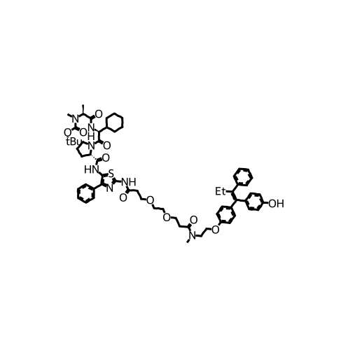 CCC(=C(c1ccc(O)cc1)c1ccc(OCCN(C)C(=O)CCOCCOCCC(=O)Nc2nc(-c3ccccc3)c(NC(=O)[C@@H]3CCCN3C(=O)[C@@H](NC(=O)[C@H](C)N(C)C(=O)OC(C)(C)C)C3CCCCC3)s2)cc1)c1ccccc1